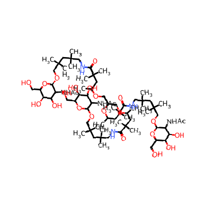 CC(=O)NC1C(OCC(C)(C)CC(C)(C)CNC(=O)C(C)(C)CC(C)OCC(COC(C)CC(C)(C)C(=O)NCC(C)(C)CC(C)(C)COC2OC(CO)C(O)C(O)C2NC(C)=O)OC(C)CC(C)(C)C(=O)NCC(C)(C)CC(C)(C)COC2OC(CO)C(O)C(O)C2NC(C)=O)OC(CO)C(O)C1O